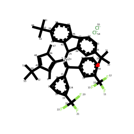 CC1=[C]([Zr+2](=[C](c2cccc(C(F)(F)F)c2)c2cccc(C(F)(F)F)c2)[CH]2c3cc(C(C)(C)C)ccc3-c3ccc(C(C)(C)C)cc32)C(C)C=C1C(C)(C)C.[Cl-].[Cl-]